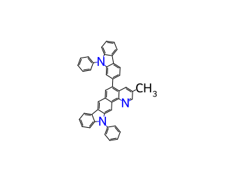 Cc1cnc2c(c1)c(-c1ccc3c4ccccc4n(-c4ccccc4)c3c1)cc1cc3c4ccccc4n(-c4ccccc4)c3cc12